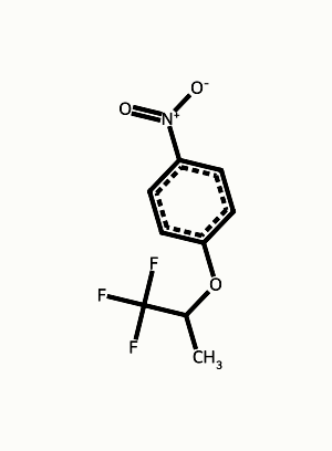 CC(Oc1ccc([N+](=O)[O-])cc1)C(F)(F)F